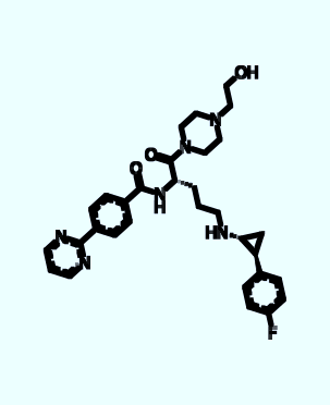 O=C(N[C@@H](CCCN[C@@H]1C[C@H]1c1ccc(F)cc1)C(=O)N1CCN(CCO)CC1)c1ccc(-c2ncccn2)cc1